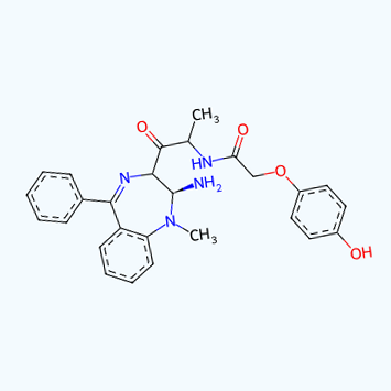 CC(NC(=O)COc1ccc(O)cc1)C(=O)C1N=C(c2ccccc2)c2ccccc2N(C)[C@@H]1N